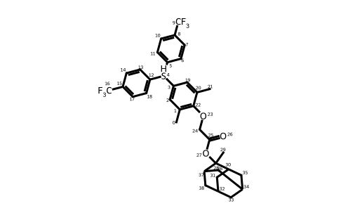 Cc1cc([SH](c2ccc(C(F)(F)F)cc2)c2ccc(C(F)(F)F)cc2)cc(C)c1OCC(=O)OC1(C)C2CC3CC(C2)CC1C3